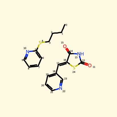 CCCCSc1ccccn1.O=C1NC(=O)C(=Cc2cccnc2)S1